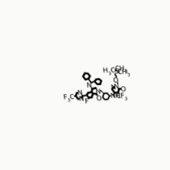 C[Si](C)(C)CCOCn1ncc(N[C@H]2CCC[C@@H](Cn3cc(N=C(c4ccccc4)c4ccccc4)c4cc(-c5ncc(C(F)(F)F)cn5)c(F)cc4c3=O)C2)c(C(F)(F)F)c1=O